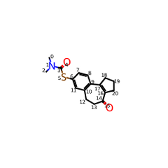 CN(C)C(=O)Sc1ccc2c(c1)CCC(=O)C1=C2CCC1